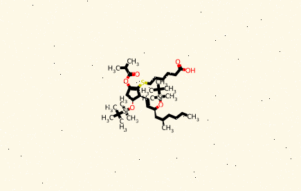 CCCC[C@@H](C)C[C@@H](C=C[C@@H]1C(SCCCCCC(=O)O)=C(OC(=O)C(C)C)C[C@H]1O[Si](C)(C)C(C)(C)C)O[Si](C)(C)C(C)(C)C